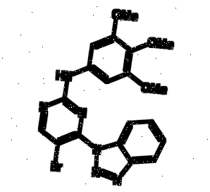 COc1cc(Nc2ncc(Br)c(-n3nnc4ccccc43)n2)cc(OC)c1OC